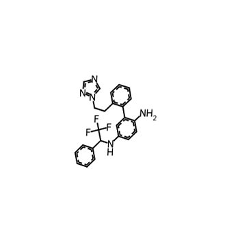 Nc1ccc(NC(c2ccccc2)C(F)(F)F)cc1-c1ccccc1CCn1cncn1